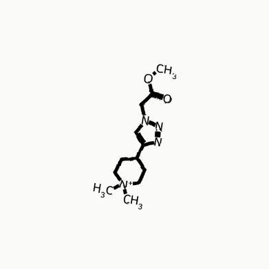 COC(=O)Cn1cc(C2CC[N+](C)(C)CC2)nn1